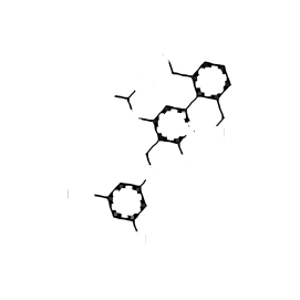 CCc1cccc(CC)c1-c1cc(OC(C)C)c(COc2cc(C)cc(C)c2)c(C)n1